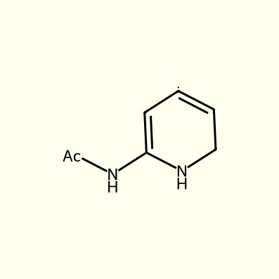 CC(=O)NC1=C[C]=CCN1